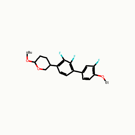 CCCCOC1CCC(c2ccc(-c3ccc(OCC)c(F)c3)c(F)c2F)CO1